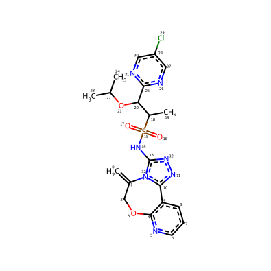 C=C1COc2ncccc2-c2nnc(NS(=O)(=O)C(C)C(OC(C)C)c3ncc(Cl)cn3)n21